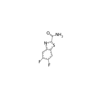 NC(=O)c1nc2cc(F)c(F)cc2s1